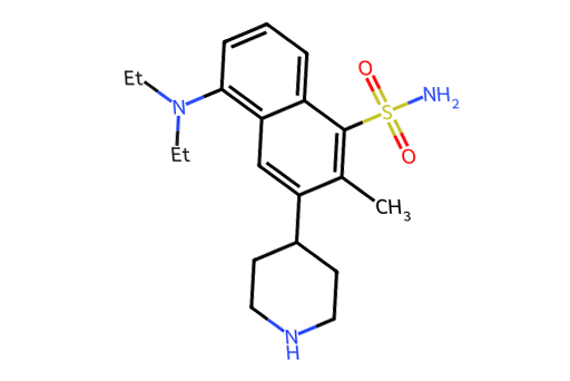 CCN(CC)c1cccc2c(S(N)(=O)=O)c(C)c(C3CCNCC3)cc12